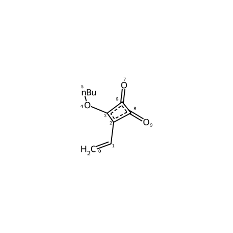 C=Cc1c(OCCCC)c(=O)c1=O